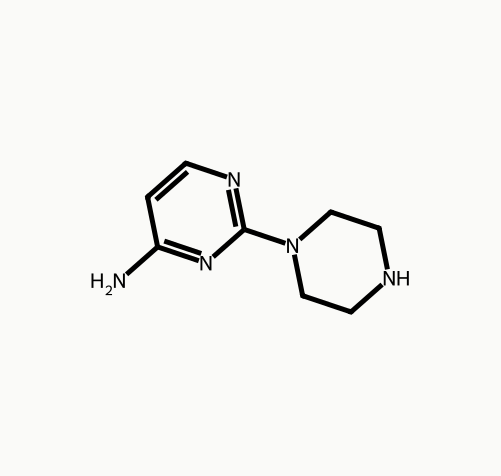 Nc1ccnc(N2CCNCC2)n1